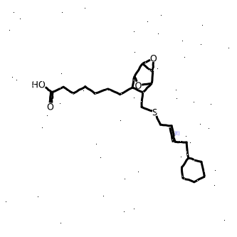 O=C(O)CCCCCCC1C(CSC/C=C/CC2CCCCC2)C2OC1C1OC21